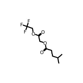 CC(C)CCC(=O)OCC(=O)OCC(F)(F)F